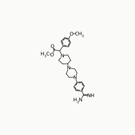 COC(=O)C(c1ccc(OC)cc1)N1CCC(N2CCN(c3ccc(C(=N)N)cc3)CC2)CC1